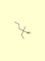 CCCC(C)([NH])CC